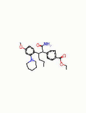 CCCC(c1ccc(OC)cc1N1CCCCC1)C(C(N)=O)c1ccc(C(=O)OCC)cc1